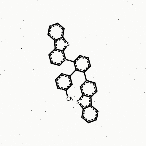 N#Cc1cccc(-c2c(-c3ccc4c(c3)sc3ccccc34)cccc2-c2cccc3c2sc2ccccc23)c1